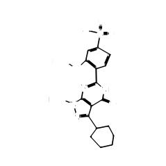 COc1cc(S(=O)(=O)Cl)ccc1-c1nc2c(c(C3CCCCC3)nn2C)c(=O)[nH]1